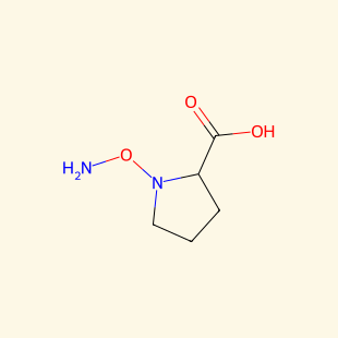 NON1CCCC1C(=O)O